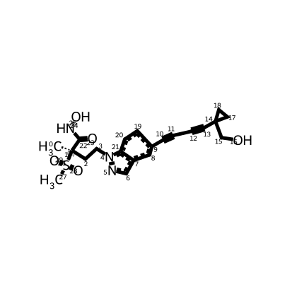 C[C@@](CCn1ncc2cc(C#CC#CC3(CO)CC3)ccc21)(C(=O)NO)S(C)(=O)=O